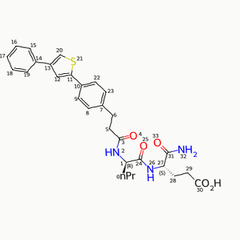 CCC[C@@H](NC(=O)CCc1ccc(-c2cc(-c3ccccc3)cs2)cc1)C(=O)N[C@@H](CCC(=O)O)C(N)=O